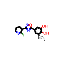 O=[N+]([O-])c1cc(-c2nc(-c3cccnc3F)no2)cc(O)c1O